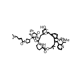 CCn1c(-c2cccnc2[C@H](C)OC)c2c3cc(ccc31)-c1cc(O)cc(c1)C[C@H](NC(=O)C(C(C)C)N(C)C(=O)[C@H]1CCN(C(=O)/C=C/CN(C)C)C1)C(=O)N1CCC[C@H](N1)C(=O)OCC(C)(C)C2